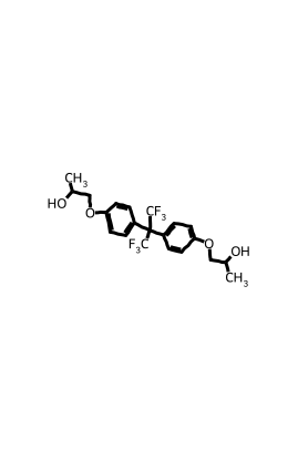 CC(O)COc1ccc(C(c2ccc(OCC(C)O)cc2)(C(F)(F)F)C(F)(F)F)cc1